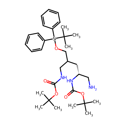 CC(C)(C)OC(=O)NCC(CO[Si](c1ccccc1)(c1ccccc1)C(C)(C)C)C[C@H](CN)NC(=O)OC(C)(C)C